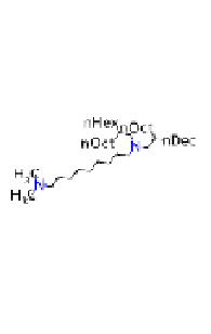 CCCCCCCCCCC(CCCCCCCC)CN(CCCCCCCCCN(C)C)CC(CCCCCC)CCCCCCCC